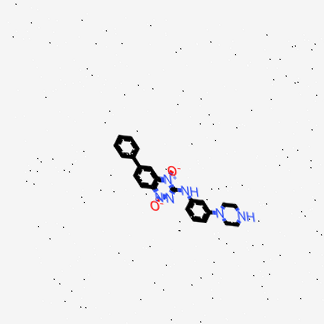 [O-][n+]1nc(Nc2cccc(N3CCNCC3)c2)[n+]([O-])c2cc(-c3ccccc3)ccc21